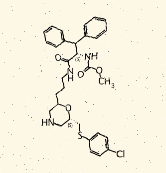 COC(=O)N[C@H](C(=O)NCCCC1CNC[C@@H](CSc2ccc(Cl)cc2)O1)C(c1ccccc1)c1ccccc1